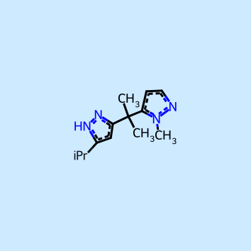 CC(C)c1cc(C(C)(C)c2ccnn2C)n[nH]1